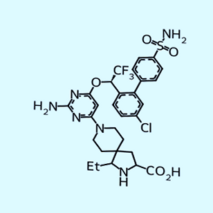 CCC1NC(C(=O)O)CC12CCN(c1cc(O[C@H](c3ccc(Cl)cc3-c3ccc(S(N)(=O)=O)cc3)C(F)(F)F)nc(N)n1)CC2